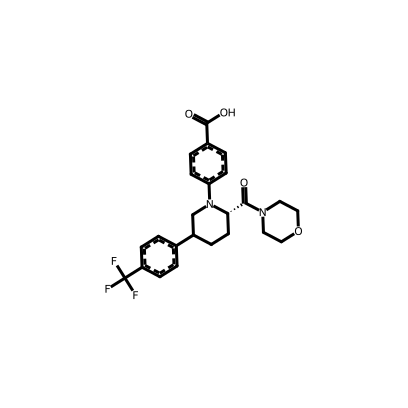 O=C(O)c1ccc(N2CC(c3ccc(C(F)(F)F)cc3)CC[C@H]2C(=O)N2CCOCC2)cc1